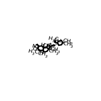 C=C[C@]1(CCC(C)(C)[C@]2(C)CC[C@H]3C(C)(C)c4oncc4C[C@]3(C)C2CC(C)=O)CCC(C)(C)CC1C